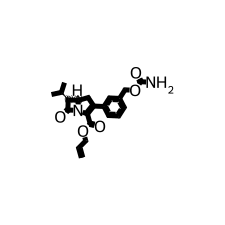 C=CCOC(=O)C1=C(c2cccc(COC(N)=O)c2)C[C@@H]2[C@@H](C(C)C)C(=O)N12